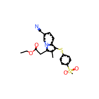 CCOC(=O)Cc1c(C)c(Sc2ccc(S(C)(=O)=O)cc2)c2ccc(C#N)cn12